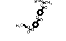 C=CCOC(=O)Oc1ccc(C(=O)Oc2ccc(C(=O)OC(C)CCCCCC)cc2)cc1